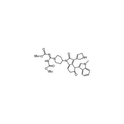 Cn1cc(C2C(=O)CC=C3C2=C(C2=CCNC2)C(=O)N3C2CCN(C(=NC(=O)OC(C)(C)C)NC(=O)OC(C)(C)C)CC2)c2ccccc21